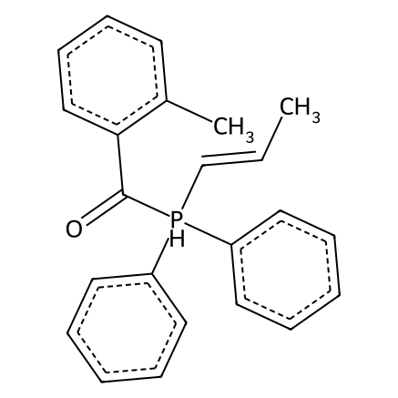 CC=C[PH](C(=O)c1ccccc1C)(c1ccccc1)c1ccccc1